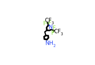 Nc1ccc(Cc2cc(C(F)(F)C(F)(F)F)nc(C(F)(F)C(F)(F)F)c2)cc1